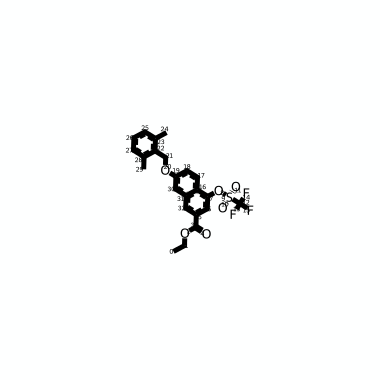 CCOC(=O)c1cc(OS(=O)(=O)C(F)(F)F)c2ccc(OCc3c(C)cccc3C)cc2c1